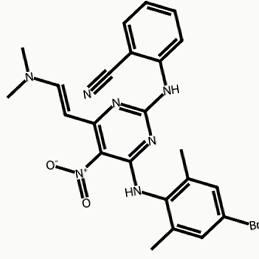 Cc1cc(Br)cc(C)c1Nc1nc(Nc2ccccc2C#N)nc(C=CN(C)C)c1[N+](=O)[O-]